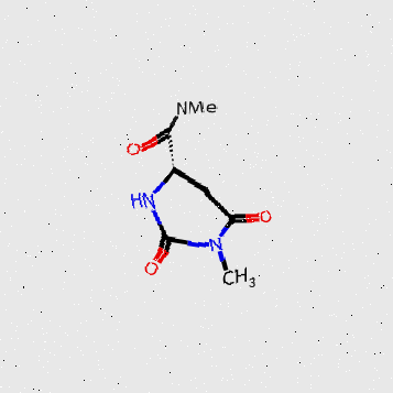 CNC(=O)[C@@H]1CC(=O)N(C)C(=O)N1